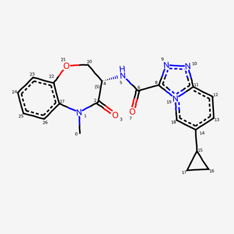 CN1C(=O)[C@@H](NC(=O)c2nnc3ccc(C4CC4)cn23)COc2ccccc21